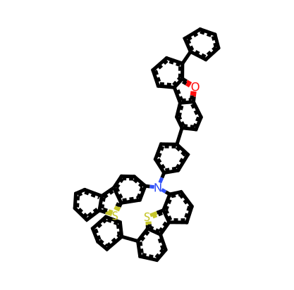 c1ccc(-c2cccc3c2oc2ccc(-c4ccc(N(c5ccc6c(c5)sc5ccccc56)c5cccc6c5sc5c(-c7ccccc7)cccc56)cc4)cc23)cc1